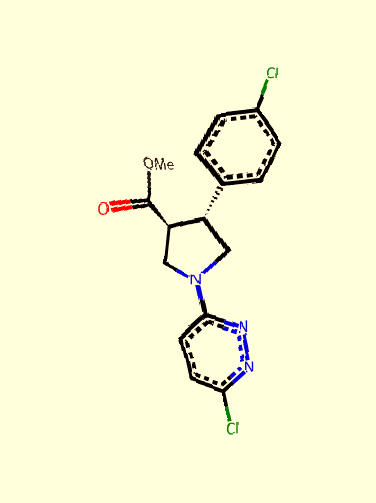 COC(=O)[C@@H]1CN(c2ccc(Cl)nn2)C[C@H]1c1ccc(Cl)cc1